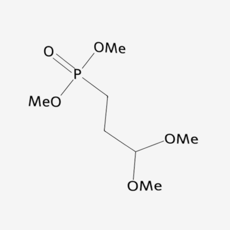 COC(CCP(=O)(OC)OC)OC